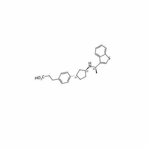 C[C@@H](N[C@H]1CC[C@H](c2ccc(CCC(=O)O)cc2)C1)c1csc2ccccc12